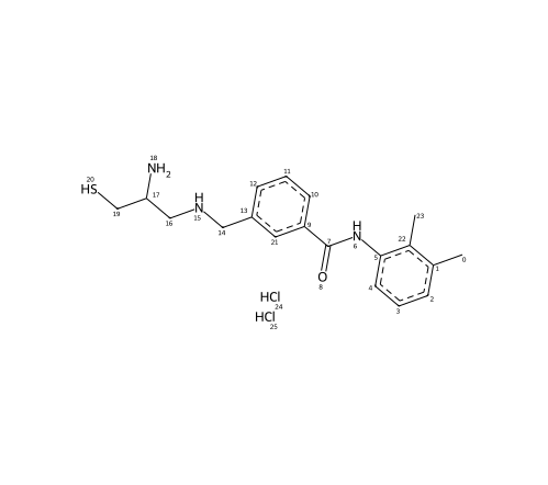 Cc1cccc(NC(=O)c2cccc(CNCC(N)CS)c2)c1C.Cl.Cl